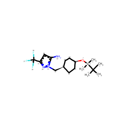 CC(C)(C)[Si](C)(C)O[C@H]1CC[C@@H](Cn2nc(C(F)(F)F)cc2N)CC1